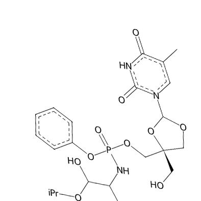 Cc1cn(C2OC[C@](CO)(COP(=O)(NC(C)C(O)OC(C)C)Oc3ccccc3)O2)c(=O)[nH]c1=O